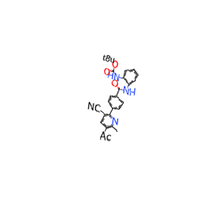 CC(=O)c1cc(C#N)c(-c2ccc(C(=O)Nc3ccccc3NC(=O)OC(C)(C)C)cc2)nc1C